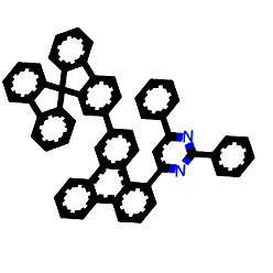 c1ccc(-c2cc(-c3cccc4c5ccccc5c5cc(-c6ccc7c(c6)C6(c8ccccc8-c8ccccc86)c6ccccc6-7)ccc5c34)nc(-c3ccccc3)n2)cc1